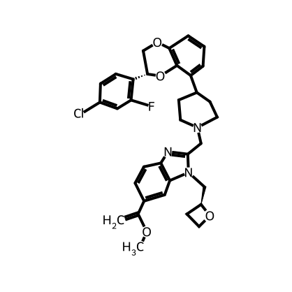 C=C(OC)c1ccc2nc(CN3CCC(c4cccc5c4O[C@H](c4ccc(Cl)cc4F)CO5)CC3)n(C[C@@H]3CCO3)c2c1